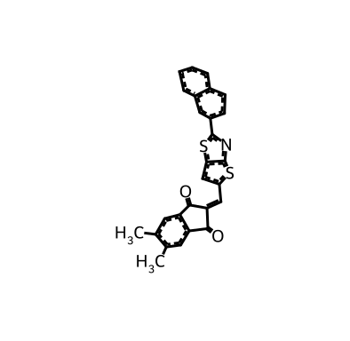 Cc1cc2c(cc1C)C(=O)C(=Cc1cc3sc(-c4ccc5ccccc5c4)nc3s1)C2=O